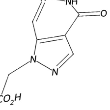 O=C(O)Cn1ncc2c(=O)[nH]ncc21